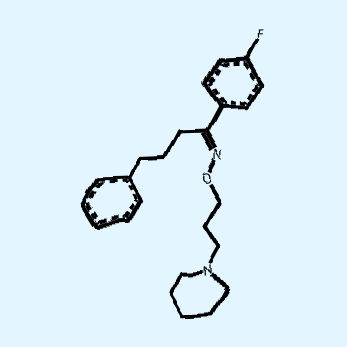 Fc1ccc(C(CCCc2ccccc2)=NOCCCN2CCCCC2)cc1